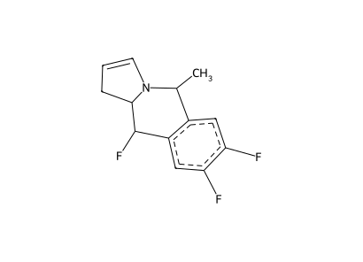 CC1c2cc(F)c(F)cc2C(F)C2CC=CN12